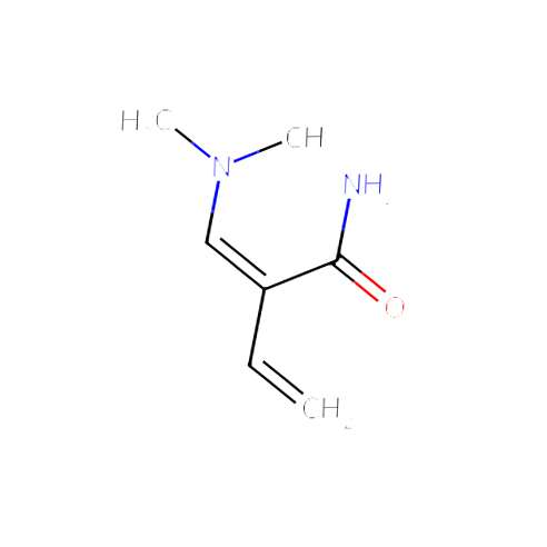 C=CC(=CN(C)C)C(N)=O